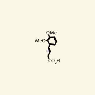 COc1cccc(/C=C/CC(=O)O)c1OC